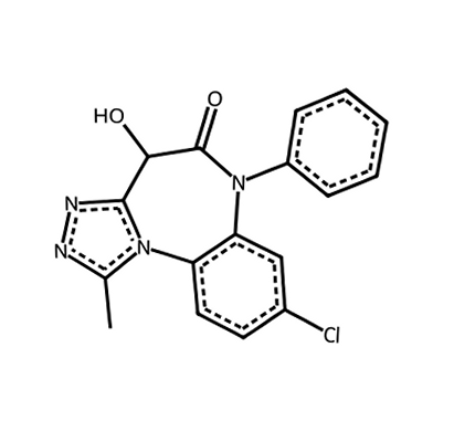 Cc1nnc2n1-c1ccc(Cl)cc1N(c1ccccc1)C(=O)C2O